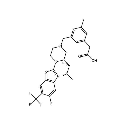 Cc1cc(CC(=O)O)cc(CN2CCN(c3nc4cc(F)c(C(F)(F)F)cc4s3)[C@H](CC(C)C)C2)c1